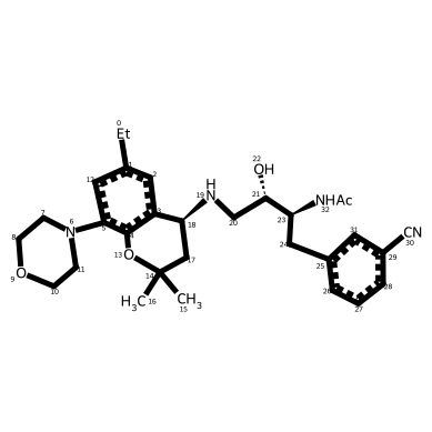 CCc1cc2c(c(N3CCOCC3)c1)OC(C)(C)C[C@@H]2NC[C@H](O)[C@H](Cc1cccc(C#N)c1)NC(C)=O